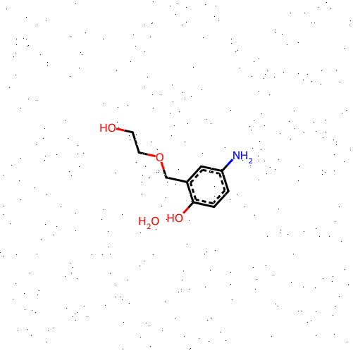 Nc1ccc(O)c(COCCO)c1.O